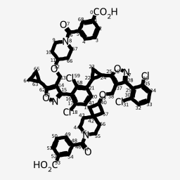 O=C(O)c1cccc(C(=O)N2CCC(OCc3c(-c4c(Cl)ccc(C5CC5c5onc(-c6c(Cl)cccc6Cl)c5COC5CC6(CCN(C(=O)c7cccc(C(=O)O)c7)CC6)C5)c4Cl)noc3C3CC3)CC2)c1